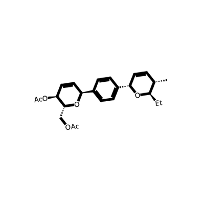 CC[C@H]1O[C@H](c2ccc([C@@H]3C=C[C@H](OC(C)=O)[C@@H](COC(C)=O)O3)cc2)C=C[C@@H]1C